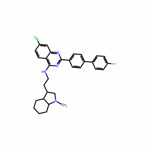 CN1CC(CCNc2nc(-c3ccc(-c4ccc(F)cc4)cc3)nc3cc(Cl)ccc23)C2CCCCC21